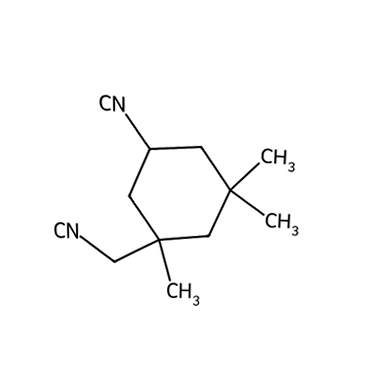 [C-]#[N+]CC1(C)CC([N+]#[C-])CC(C)(C)C1